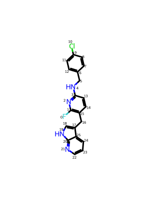 Fc1nc(NCc2ccc(Cl)cc2)ccc1Cc1c[nH]c2ncccc12